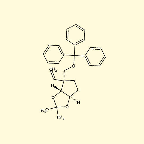 C=C[C@@]1(COC(c2ccccc2)(c2ccccc2)c2ccccc2)C[CH][C@H]2OC(C)(C)O[C@@H]21